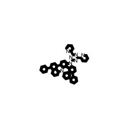 c1ccc(-c2ccc3c(c2)c2c4c(ccc2n3-c2nc(-c3ccccn3)nc(-c3ccccn3)n2)-c2ccc(-c3ccccc3)c3cccc(c23)N4c2ccccc2)cc1